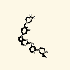 O=S1(=O)CCN(CC2(F)C=CC(n3ccc4cnc(Nc5ccnc(N6CCNC7(CC7)C6)c5)nc43)C=C2F)CC1